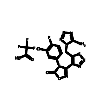 Nc1nnnn1Cc1snnc1-c1noc(=O)n1-c1ccc(F)c(Cl)c1.O=C(O)C(F)(F)F